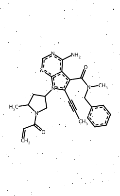 C=CC(=O)N1CC(n2c(C#CC)c(C(=O)N(C)Cc3ccccc3)c3c(N)ncnc32)CC1C